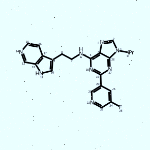 CC(C)n1cnc2c(NCCc3c[nH]c4cnccc34)nc(-c3cncc(F)c3)nc21